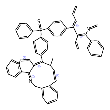 C=C/C=C(/C(C=C)=C(\N=C)c1ccccc1)c1ccc(P(=S)(c2ccccc2)c2ccc(/C3=C(\C=C/C)C(/c4ccccc4)=N\Cc4ccccc4/C=C\C3C)cc2)cc1